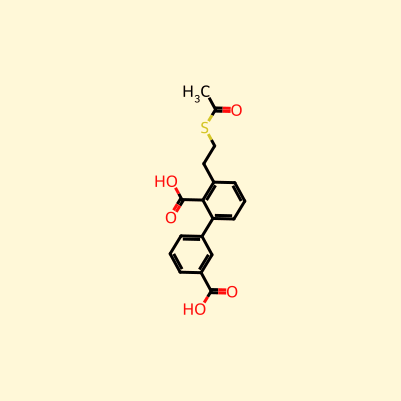 CC(=O)SCCc1cccc(-c2cccc(C(=O)O)c2)c1C(=O)O